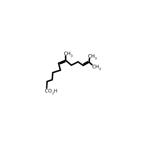 CC(C)=CCCC(C)=CCCCCC(=O)O